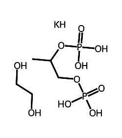 CC(COP(=O)(O)O)OP(=O)(O)O.OCCO.[KH]